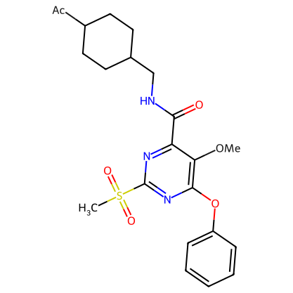 COc1c(Oc2ccccc2)nc(S(C)(=O)=O)nc1C(=O)NCC1CCC(C(C)=O)CC1